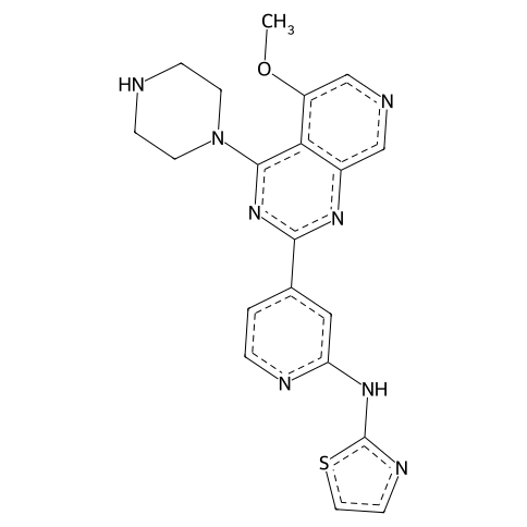 COc1cncc2nc(-c3ccnc(Nc4nccs4)c3)nc(N3CCNCC3)c12